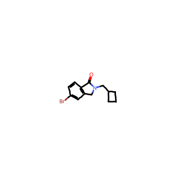 O=C1c2ccc(Br)cc2CN1CC1CCC1